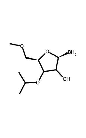 B[C@@H]1O[C@H](COC)C(OC(C)C)C1O